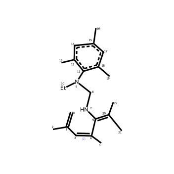 C=C(C)/C=C(/C)C(NCN(CC)c1c(C)cc(C)cc1C)=C(C)C